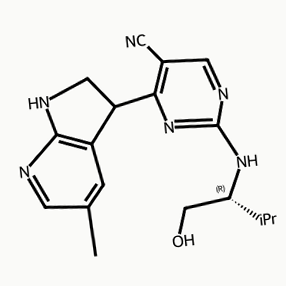 Cc1cnc2c(c1)C(c1nc(N[C@@H](CO)C(C)C)ncc1C#N)CN2